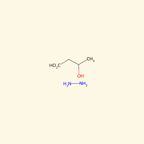 CC(O)CC(=O)O.NN